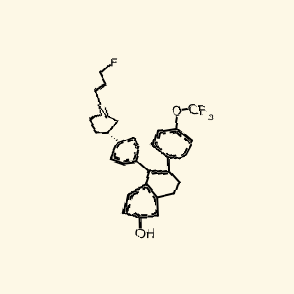 Oc1ccc2c(c1)CCC(c1ccc(OC(F)(F)F)cc1)=C2c1ccc([C@@H]2CCN(CCCF)C2)cc1